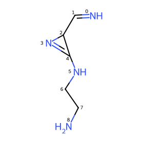 N=CC1N=C1NCCN